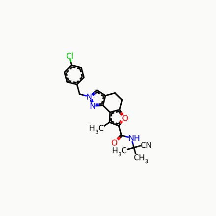 Cc1c(C(=O)NC(C)(C)C#N)oc2c1-c1nn(Cc3ccc(Cl)cc3)cc1CC2